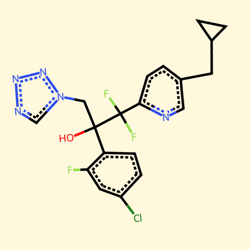 OC(Cn1cnnn1)(c1ccc(Cl)cc1F)C(F)(F)c1ccc(CC2CC2)cn1